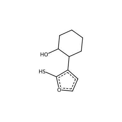 OC1CCCCC1c1ccoc1S